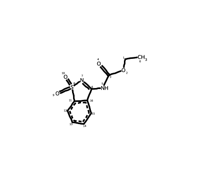 CCOC(=O)NC1=NS(=O)(=O)c2ccccc21